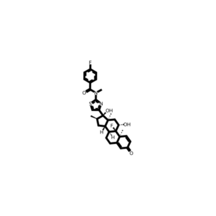 C[C@@H]1C[C@H]2[C@@H]3CCC4=CC(=O)C=C[C@]4(C)[C@@]3(F)[C@@H](O)C[C@]2(C)[C@@]1(O)c1csc(N(C)C(=O)c2ccc(F)cc2)n1